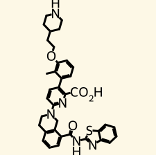 Cc1c(OCCC2CCNCC2)cccc1-c1ccc(N2CCc3cccc(C(=O)Nc4nc5ccccc5s4)c3C2)nc1C(=O)O